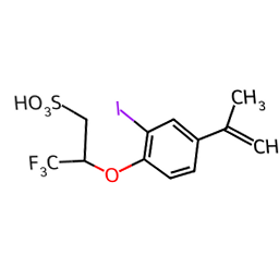 C=C(C)c1ccc(OC(CS(=O)(=O)O)C(F)(F)F)c(I)c1